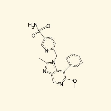 COc1ncc2nc(C)n(Cc3ccc(S(N)(=O)=O)cn3)c2c1-c1ccccc1